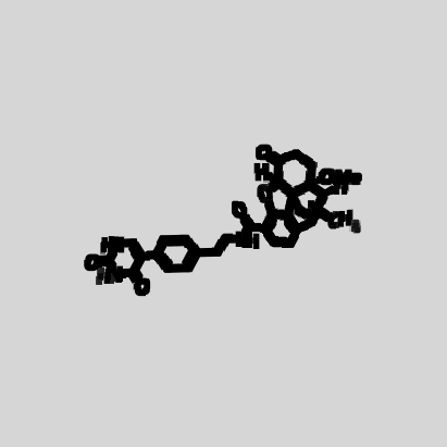 CO[C@@]12CCC(=O)[C@H]3Oc4c(C(=O)NCCc5ccc(-c6c[nH]c(=O)[nH]c6=O)cc5)ccc5c4[C@]31CCN(C)[C@H]2C5